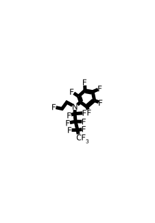 FCCN(c1c(F)c(F)c(F)c(F)c1F)C(F)(F)C(F)(F)C(F)(F)C(F)(F)F